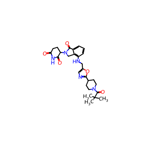 CC(C)(C)C(=O)N1CCC(c2ncc(CNc3cccc4c3CN(C3CCC(=O)NC3=O)C4=O)o2)CC1